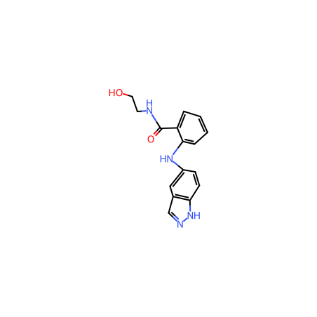 O=C(NCCO)c1ccccc1Nc1ccc2[nH]ncc2c1